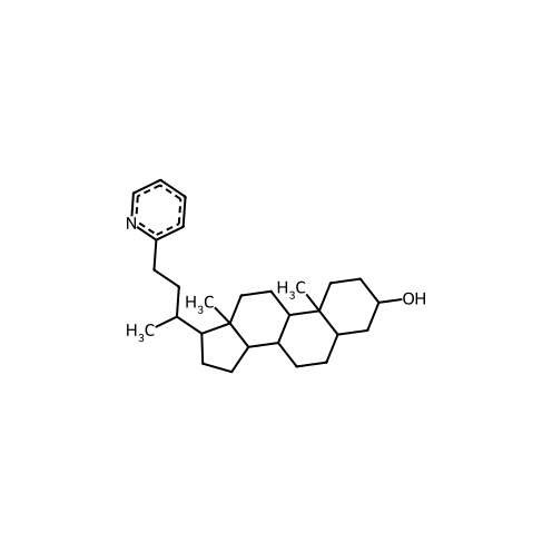 CC(CCc1ccccn1)C1CCC2C3CCC4CC(O)CCC4(C)C3CCC12C